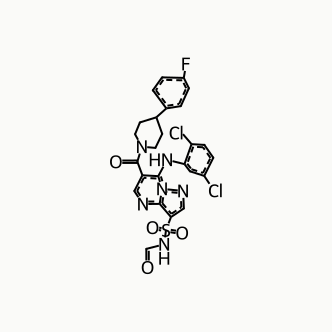 O=CNS(=O)(=O)c1cnn2c(Nc3cc(Cl)ccc3Cl)c(C(=O)N3CCC(c4ccc(F)cc4)CC3)cnc12